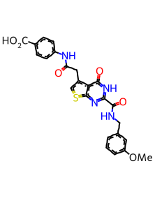 COc1cccc(CNC(=O)c2nc3scc(CC(=O)Nc4ccc(C(=O)O)cc4)c3c(=O)[nH]2)c1